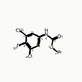 CC(C)OC(=O)Nc1cc(Cl)c(F)c(Cl)c1